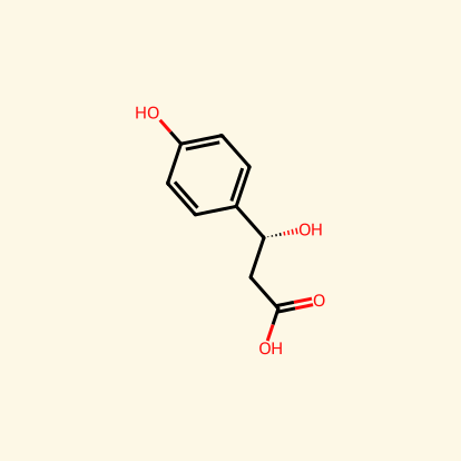 O=C(O)C[C@@H](O)c1ccc(O)cc1